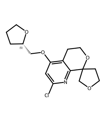 Clc1cc(OC[C@@H]2CCCO2)c2c(n1)C1(CCOC1)OCC2